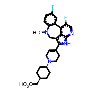 CN1Cc2c(C3=CCN([C@H]4CC[C@H](CC(=O)O)CC4)CC3)[nH]c3ncc(F)c(c23)-c2cc(F)ccc21